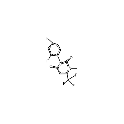 Cn1c(C(F)(F)F)cc(=O)n(-c2ccc(F)cc2F)c1=O